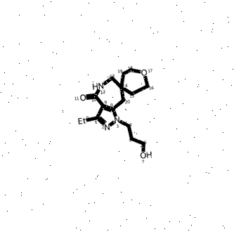 CCc1nn(CCCO)c2c1C(=O)NCC1(CCOCC1)C2